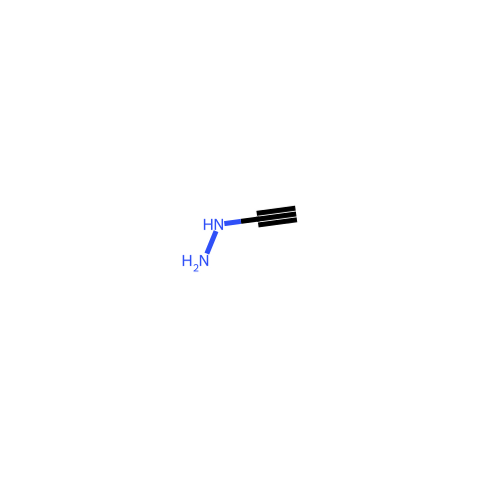 C#CNN